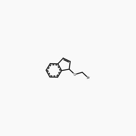 BrCOC1C=[C]c2ccccc21